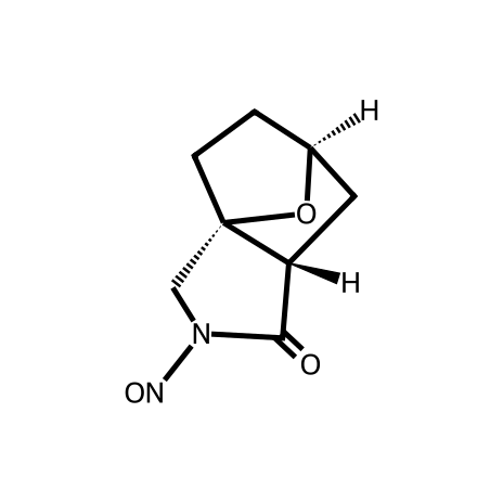 O=NN1C[C@@]23CC[C@@H](C[C@@H]2C1=O)O3